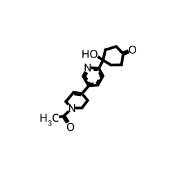 CC(=O)N1CC=C(c2ccc(C3(O)CCC(=O)CC3)nc2)CC1